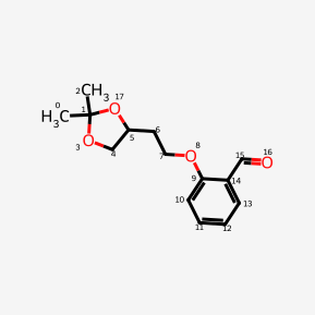 CC1(C)OCC(CCOc2ccccc2C=O)O1